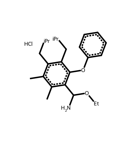 CCOC(N)c1c(C)c(C)c(CC(C)C)c(CC(C)C)c1Oc1ccccc1.Cl